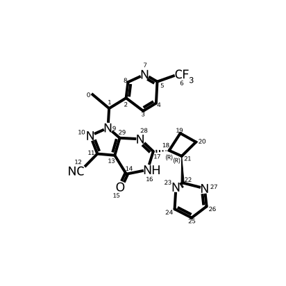 CC(c1ccc(C(F)(F)F)nc1)n1nc(C#N)c2c(=O)[nH]c([C@@H]3CC[C@H]3c3ncccn3)nc21